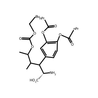 CCCC(=O)Oc1ccc(C(C(C)C(C)OC(=O)OCC(C)CC)[C@H](N)C(=O)O)cc1OC(=O)CCC